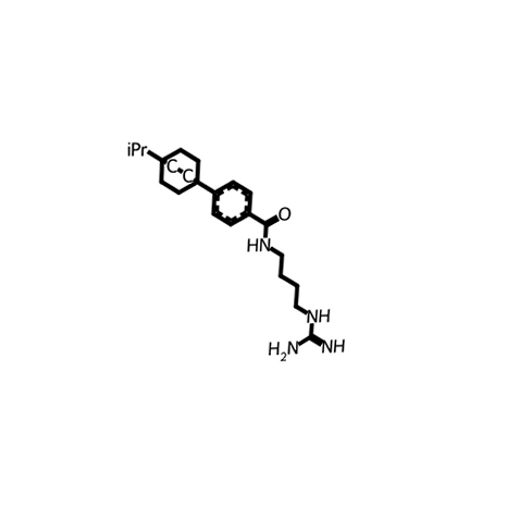 CC(C)C12CCC(c3ccc(C(=O)NCCCCNC(=N)N)cc3)(CC1)CC2